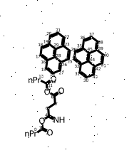 CCCC(=O)OC(=N)CCC(=O)OC(=O)CCC.c1cc2ccc3cccc4ccc(c1)c2c34.c1cc2ccc3cccc4ccc(c1)c2c34